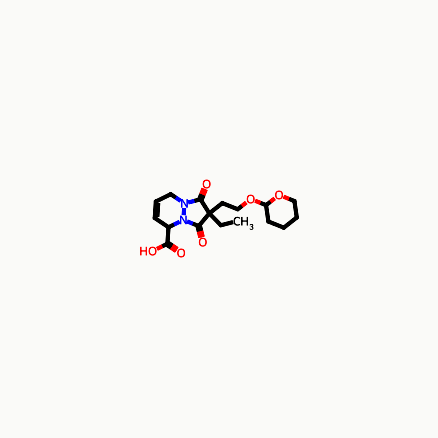 CCC1(CCOC2CCCCO2)C(=O)N2CC=CC(C(=O)O)N2C1=O